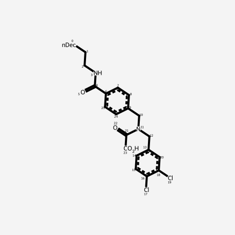 CCCCCCCCCCCCNC(=O)c1ccc(CN(Cc2ccc(Cl)c(Cl)c2)C(=O)C(=O)O)cc1